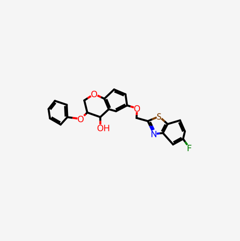 OC1c2cc(OCc3nc4cc(F)ccc4s3)ccc2OCC1Oc1ccccc1